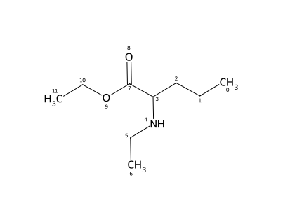 CCCC(NCC)C(=O)OCC